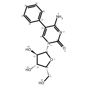 Nc1nc(=O)n([C@@H]2O[C@H](CO)[C@H](O)[C@H]2O)cc1-c1ccccc1